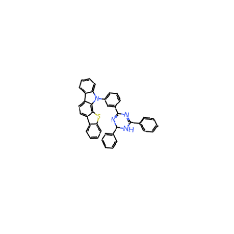 c1ccc(C2=NC(c3cccc(-n4c5ccccc5c5ccc6c7ccccc7sc6c54)c3)=NC(c3ccccc3)N2)cc1